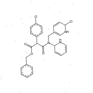 O=C(OCc1ccccc1)C(C(=O)N(CC1=CNC(Cl)C=C1)C1C=CC=CN1)c1ccc(Cl)cc1